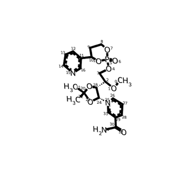 COC(COP1(=O)OCCC(c2cccnc2)O1)[C@H]1OC(C)(C)O[C@H]1[n+]1cccc(C(N)=O)c1